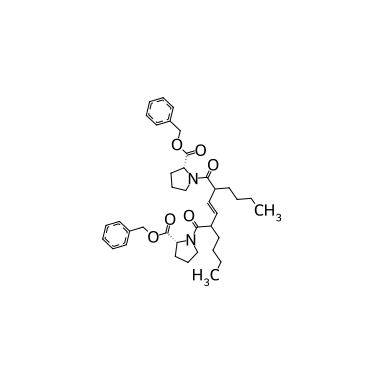 CCCCC(/C=C/C(CCCC)C(=O)N1CCC[C@@H]1C(=O)OCc1ccccc1)C(=O)N1CCC[C@@H]1C(=O)OCc1ccccc1